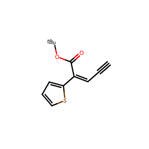 C#CC=C(C(=O)OC(C)(C)C)c1cccs1